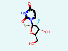 O=c1ccn([C@]2(Br)O[C@H](CO)[C@@H](O)[C@H]2F)c(=O)[nH]1